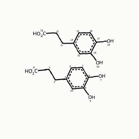 O=C(O)CCc1ccc(O)c(O)c1.O=C(O)CCc1ccc(O)c(O)c1